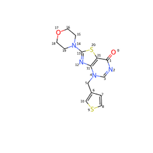 O=c1ncn(Cc2ccsc2)c2nc(N3CCOCC3)sc12